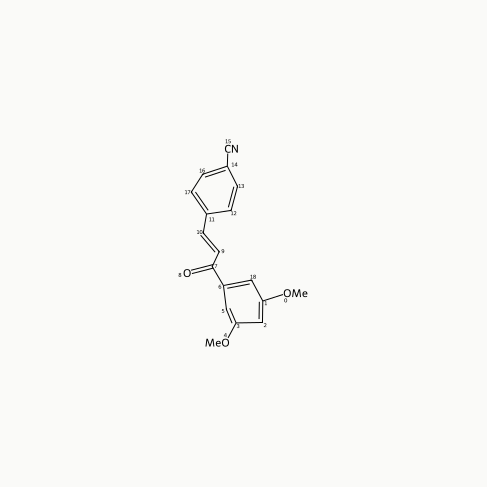 COc1cc(OC)cc(C(=O)/C=C/c2ccc(C#N)cc2)c1